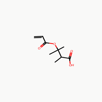 C=CC(=O)OC(C)(C)C(C)C(=O)O